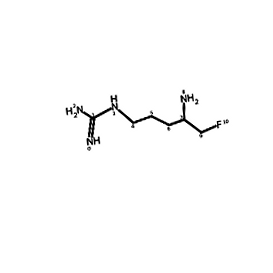 N=C(N)NCCCC(N)CF